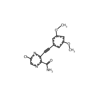 COc1cc(C#Cc2nc(Cl)cnc2C(N)=O)cc(OC)c1